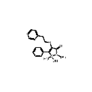 CC(C)(C)N1C(=O)C(NCCc2cc[c]cc2)=C(c2ccccc2)S1(O)O